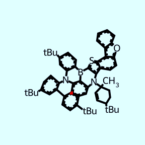 CC(C)(C)c1ccc(-c2cc(C(C)(C)C)ccc2N2c3cc(C(C)(C)C)ccc3B3c4sc5c(ccc6oc7ccccc7c65)c4N(C4(C)C=CC(C(C)(C)C)CC4)c4cccc2c43)cc1